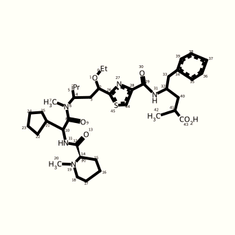 CCOC(CC(C(C)C)N(C)C(=O)C(NC(=O)[C@H]1CCCCN1C)C1CCCC1)c1nc(C(=O)NC(Cc2ccccc2)CC(C)C(=O)O)cs1